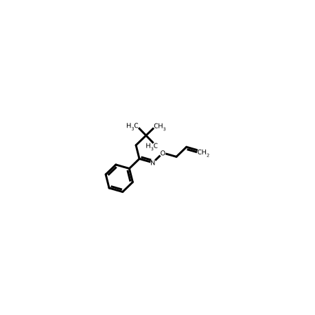 C=CCO/N=C(\CC(C)(C)C)c1ccccc1